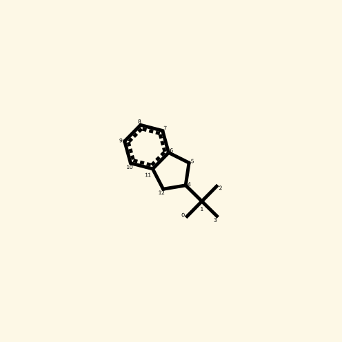 CC(C)(C)C1Cc2ccccc2C1